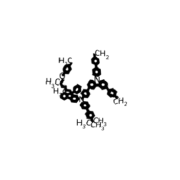 C=Cc1ccc(OCC(C)CCC(C)CC2(c3ccccc3)c3ccccc3-c3ccc(N(c4ccc(-c5ccc(C(C)(C)C)cc5)cc4)c4ccc(-c5ccc6c(c5)c5cc(-c7ccc(C=C)cc7)ccc5n6-c5ccc(-c6ccc(C=C)cc6)cc5)cc4)cc32)cc1